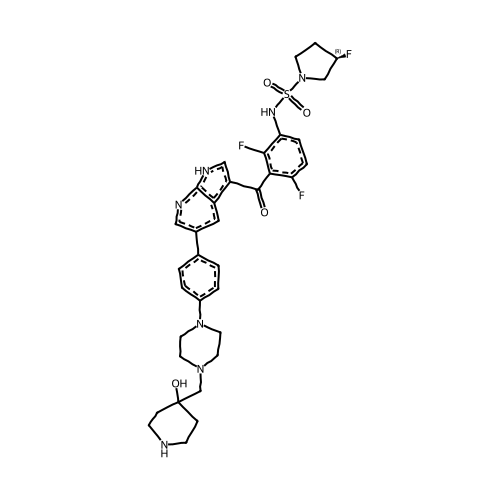 O=C(c1c(F)ccc(NS(=O)(=O)N2CC[C@@H](F)C2)c1F)c1c[nH]c2ncc(-c3ccc(N4CCN(CC5(O)CCNCC5)CC4)cc3)cc12